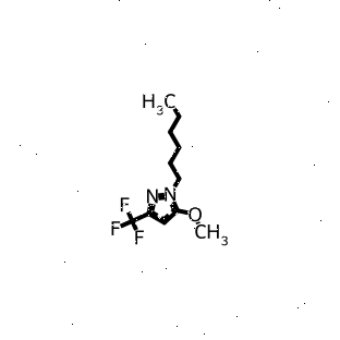 CCCCCCn1nc(C(F)(F)F)cc1OC